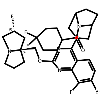 O=C(C1CCC(F)(F)CC1)N1C2CCC1CN(c1nc(OC[C@@]34CCCN3C[C@H](F)C4)nc3c(F)c(Br)ccc13)C2